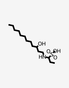 CCCCCCCCCC(O)CCNC(CC)S(=O)(=O)O